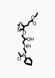 CCOC(=O)CCc1nsnc1OCC(O)CNCCN(C(C)=O)c1ccccc1